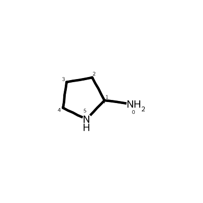 N[C]1CCCN1